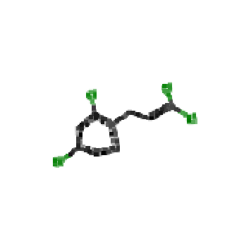 ClC(Cl)=CCc1ccc(Cl)cc1Cl